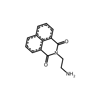 NCCN1C(=O)c2cccc3cccc(c23)C1=O